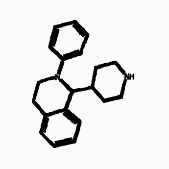 c1ccc(N2CCc3ccccc3C2C2CCNCC2)cc1